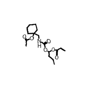 CCCC(OC(=O)CC)OC(=O)NCC1(OC(C)=O)CCCCC1